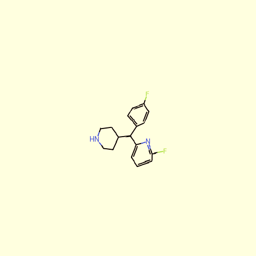 Fc1ccc(C(c2cccc(F)n2)C2CCNCC2)cc1